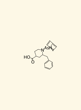 O=C(O)C1CCN([AsH2])C(Cc2ccccc2)C1.c1cc2ccc1-2